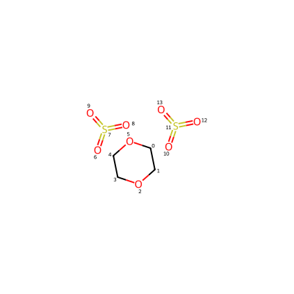 C1COCCO1.O=S(=O)=O.O=S(=O)=O